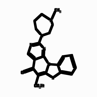 CCOC(=O)c1c(=O)c2cnc(N3CCCN(C)CC3)nc2n2c1sc1ccccc12